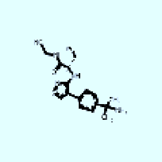 CC(C)C[C@H](Nc1nscc1-c1ccc(C(C)(C)N)cc1)C(=O)NCC#N